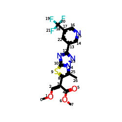 COC=C(C(=O)OC)c1sc2nc(-c3cncc(C(F)(F)F)c3)nn2c1C